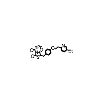 CCCC(=O)N1C(=O)SC(Cc2ccc(OCCc3ccc(CC)cn3)cc2)C1=O